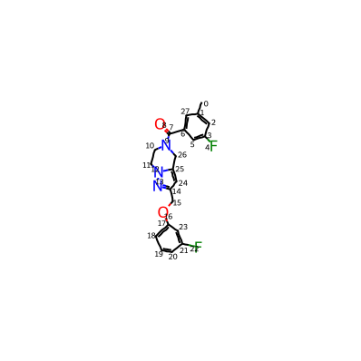 Cc1cc(F)cc(C(=O)N2CCn3nc(COc4cccc(F)c4)cc3C2)c1